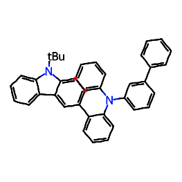 CC(C)(C)n1c2ccccc2c2cc(-c3ccccc3N(c3ccccc3)c3cccc(-c4ccccc4)c3)ccc21